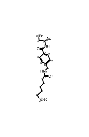 CCCCCCCCCCCCCCCC(=O)NCc1ccc(C(=O)N[C@@H](CC(C)C)C(C)=O)cc1